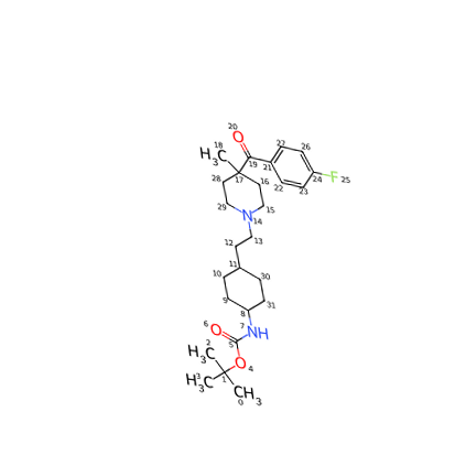 CC(C)(C)OC(=O)NC1CCC(CCN2CCC(C)(C(=O)c3ccc(F)cc3)CC2)CC1